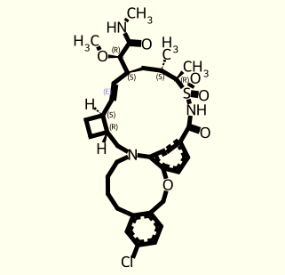 CNC(=O)[C@H](OC)[C@@H]1/C=C/[C@@H]2CC[C@H]2CN2CCCCc3cc(Cl)ccc3COc3ccc(cc32)C(=O)NS(=O)(=O)[C@H](C)[C@@H](C)C1